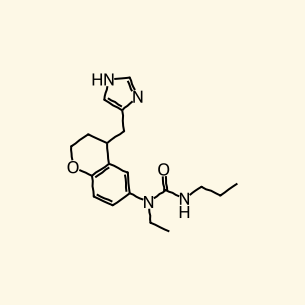 CCCNC(=O)N(CC)c1ccc2c(c1)C(Cc1c[nH]cn1)CCO2